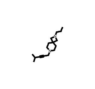 CCCN1CC2(CCN(CC#CC(C)C)CC2)C1